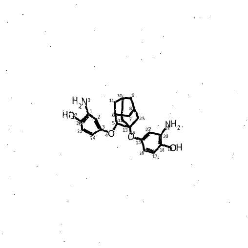 Nc1cc(OC2C3CC4CC(C3)CC2(Oc2ccc(O)c(N)c2)C4)ccc1O